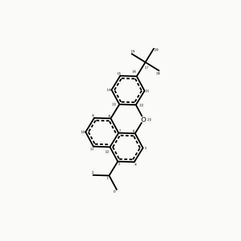 CC(C)c1ccc2c3c(cccc13)-c1ccc(C(C)(C)C)cc1O2